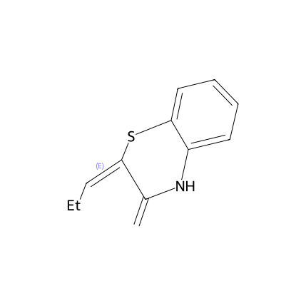 C=C1Nc2ccccc2S/C1=C/CC